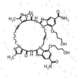 CCn1nc(C)c2c1C(=O)Nc1nc3cc(C(N)=O)cc(OCCCO)c3n1C/C=C/Cn1c(nc3cc(C(N)=O)cc(OCCCO)c31)NC(=O)c1cc(C)nn1CCC/C=C\2